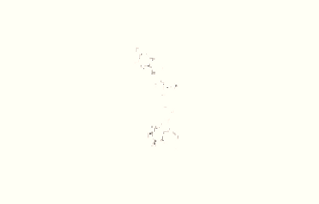 CCCN(CC(O)CCCCC(=O)N1CCN(c2ncc(Cl)cn2)CC1)c1cn[nH]c(=O)c1C(F)(F)F